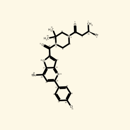 CC(C)[C@H](C)CC(=O)N1CCN(C(=O)c2cc3nc(-c4ccc(Cl)cc4)cc(C(C)(C)C)c3o2)C(C)(C)C1